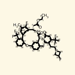 CCOC(=O)C[C@@H]1NC(=O)[C@H](n2cc(CCN3CC(F)C3)c(C(F)(F)F)cc2=O)c2cc(ccc2F)Oc2cccc(C(F)(F)F)c2-c2cc(C)c(F)c1c2